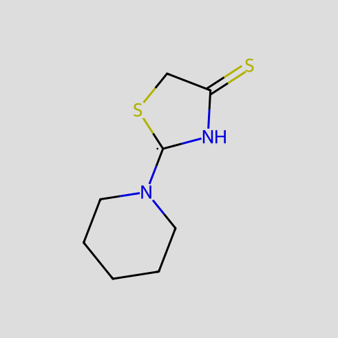 S=C1CS[C](N2CCCCC2)N1